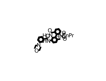 CCCS(=O)(=O)Nc1cccc(C(N)=O)c1-c1cc(NC(=O)c2cccc(N3CCOCC3)c2)ccc1C